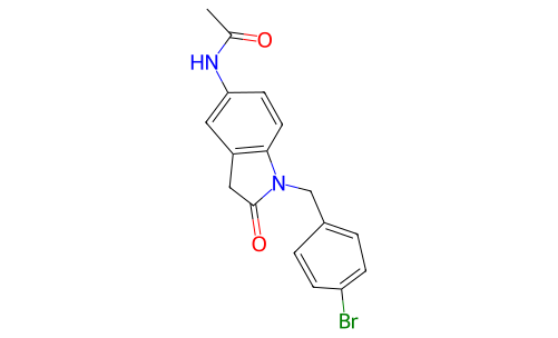 CC(=O)Nc1ccc2c(c1)CC(=O)N2Cc1ccc(Br)cc1